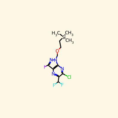 C[Si](C)(C)CCOCn1nc(I)c2nc(C(F)F)c(Cl)nc21